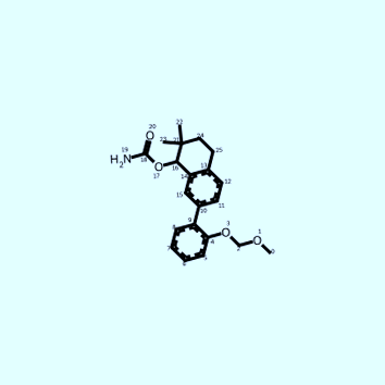 COCOc1ccccc1-c1ccc2c(c1)C(OC(N)=O)C(C)(C)CC2